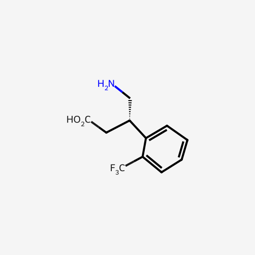 NC[C@@H](CC(=O)O)c1ccccc1C(F)(F)F